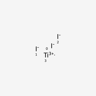 [I-].[I-].[I-].[Ti+3]